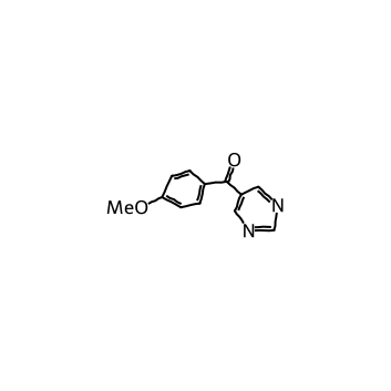 COc1ccc(C(=O)c2cncnc2)cc1